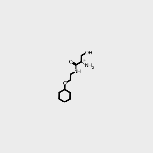 N[C@@H](CO)C(=O)NCCOC1CCCCC1